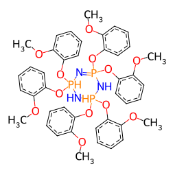 COc1ccccc1OP1(Oc2ccccc2OC)=N[PH](Oc2ccccc2OC)(Oc2ccccc2OC)N[PH](Oc2ccccc2OC)(Oc2ccccc2OC)N1